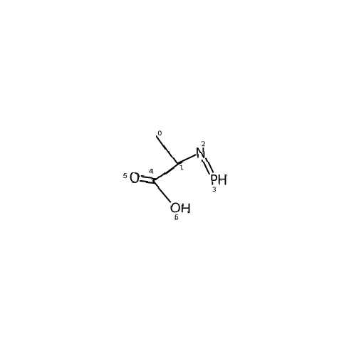 CC(N=P)C(=O)O